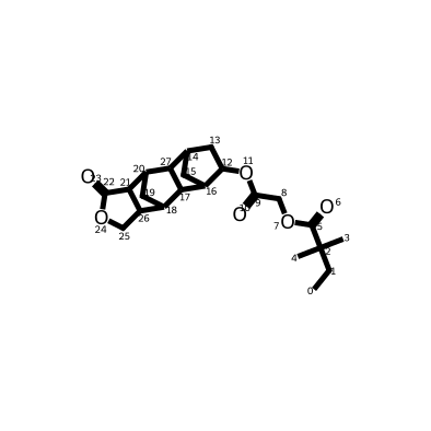 CCC(C)(C)C(=O)OCC(=O)OC1CC2CC1C1C3CC(C4C(=O)OCC34)C21